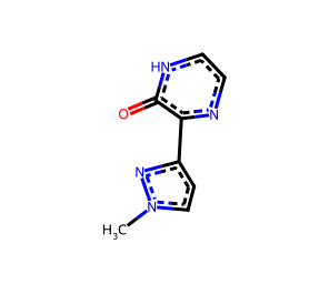 Cn1ccc(-c2ncc[nH]c2=O)n1